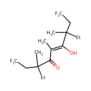 CCC(C)(CC(F)(F)F)C(=O)/C(C)=C(\O)C(C)(CC)CC(F)(F)F